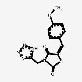 COc1ccc(C=C2SC(=O)N(Cc3nnn[nH]3)C2=O)cc1